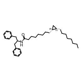 CCCCCCCC[C@H]1C[C@H]1CCCCCCCC(=O)NC(Cc1ccccc1)Cc1ccccc1